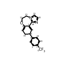 FC(F)(F)c1ccc(C2C=C3C(=CC2)OCCn2ccnc23)cc1